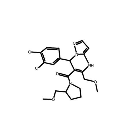 COCC1=C(C(=O)N2CCCC2COC)C(c2ccc(Cl)c(Cl)c2)n2nccc2N1